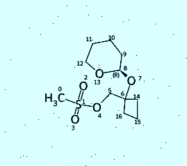 CS(=O)(=O)OCC1(O[C@@H]2CCCCO2)CCC1